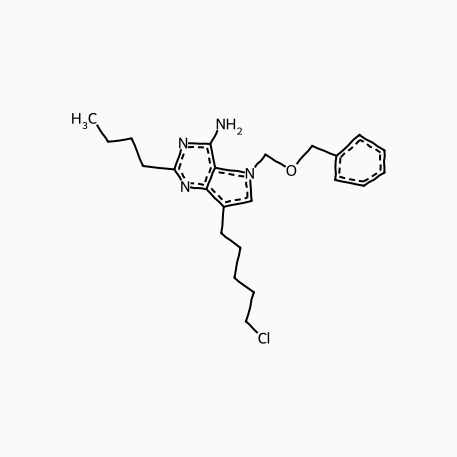 CCCCc1nc(N)c2c(n1)c(CCCCCCl)cn2COCc1ccccc1